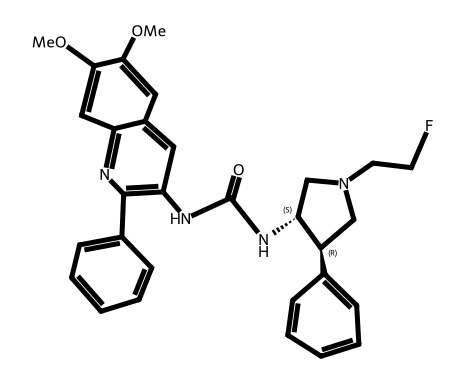 COc1cc2cc(NC(=O)N[C@@H]3CN(CCF)C[C@H]3c3ccccc3)c(-c3ccccc3)nc2cc1OC